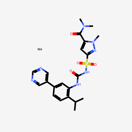 CC(C)c1ccc(-c2cncnc2)cc1NC(=O)NS(=O)(=O)c1cc(C(=O)N(C)C)n(C)n1.[Na]